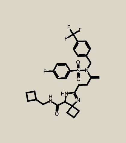 C=C(CCC1=NC2(CCC2)C(C(=O)NCC2CCC2)N1)N(Cc1ccc(C(F)(F)F)cc1)S(=O)(=O)c1ccc(F)cc1